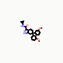 COc1cccc(C2(c3cccc(OC)c3)C=Cc3c(C(=O)NC4CC4)n[nH]c3C2)c1